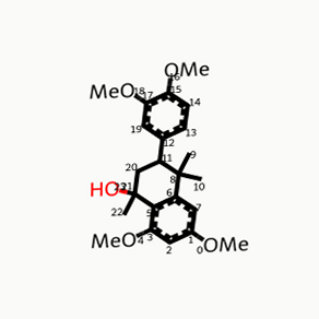 COc1cc(OC)c2c(c1)C(C)(C)C(c1ccc(OC)c(OC)c1)CC2(C)O